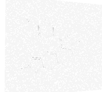 Cc1c2cc(-n3c(-c4ccc(C#N)c(F)c4)nc(C=O)c3C)c(F)cc2nn1C